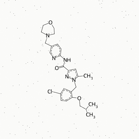 Cc1cc(C(=O)Nc2ccc(CN3CCOCC3)cn2)nn1Cc1cc(Cl)ccc1OCC(C)C